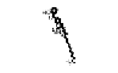 CCCCCCCCCCCCCCC(Cc1ccc(C(=O)c2ccccc2O)cc1)C(C)(C)Cl.N